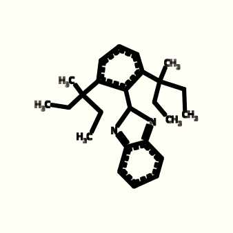 CCC(C)(CC)c1cccc(C(C)(CC)CC)c1C1N=c2ccccc2=N1